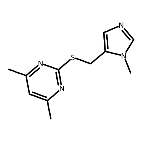 Cc1cc(C)nc(SCc2cncn2C)n1